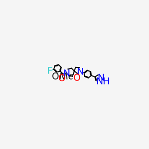 COc1c(F)cccc1C(=O)N1CCC2(CC1)CCN(c1ccc(-c3cn[nH]c3)cc1)C2=O